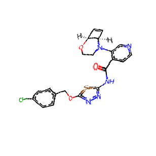 O=C(Nc1nnc(OCc2ccc(Cl)cc2)s1)c1ccncc1N1CCO[C@H]2C=C[C@H]21